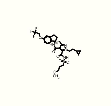 COCCCS(=O)(=O)NC(=O)c1c2c(nn1CCC1CC1)C[C@]1(CCc3cc(OCC(F)(F)F)ccc31)NC2=O